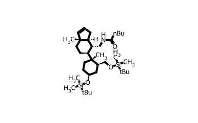 CCCCC(=O)NC[C@@H]1[C@@H]([C@@]2(C)CC[C@H](O[Si](C)(C)C(C)(C)C)C[C@@H]2CO[Si](C)(C)C(C)(C)C)CC[C@]2(C)C=CC[C@@H]12